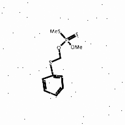 COP(=S)(OCSc1ccccc1)SC